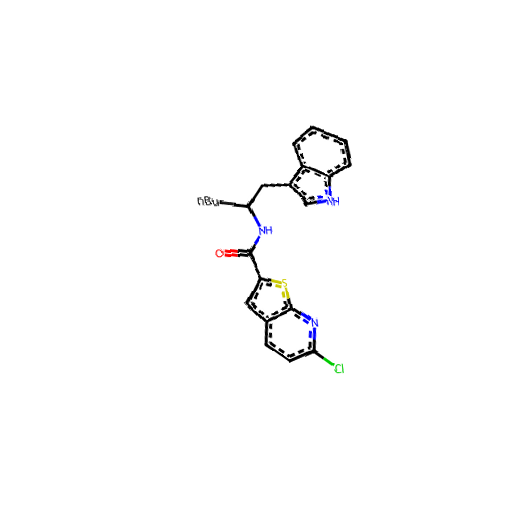 CCCCC(Cc1c[nH]c2ccccc12)NC(=O)c1cc2ccc(Cl)nc2s1